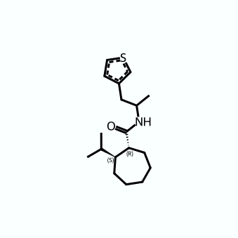 CC(Cc1ccsc1)NC(=O)[C@@H]1CCCCC[C@H]1C(C)C